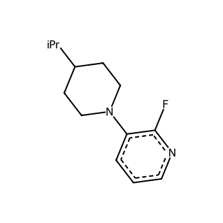 CC(C)C1CCN(c2cccnc2F)CC1